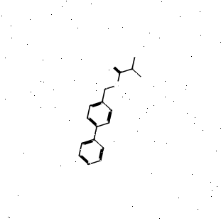 CC(C)C(=O)NCc1ccc(-c2ccccc2)cc1